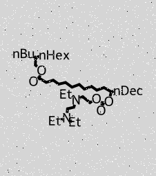 CCCCCCCCCCC(CCCCCCCCCCC(=O)OCC(CCCC)CCCCCC)OC(=O)OCCN(CC)CCN(CC)CC